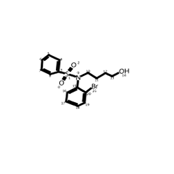 O=S(=O)(c1ccccc1)N(CCCCO)c1ccccc1Br